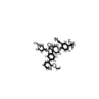 CCOc1ncccc1-c1ccc2c(c1)N(C1CCN(C)C1)C(O)C21CCN(c2ccc(C(F)(F)F)cc2C#N)CC1